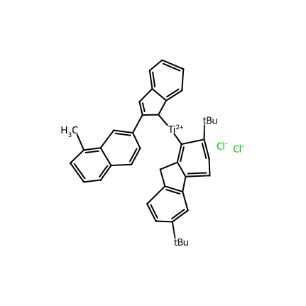 Cc1cccc2ccc(C3=Cc4ccccc4[CH]3[Ti+2][c]3c(C(C)(C)C)ccc4c3Cc3ccc(C(C)(C)C)cc3-4)cc12.[Cl-].[Cl-]